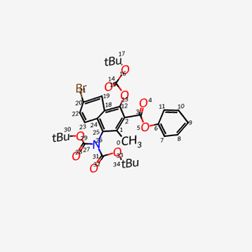 Cc1c(C(=O)Oc2ccccc2)c(OC(=O)OC(C)(C)C)c2cc(Br)ccc2c1N(C(=O)OC(C)(C)C)C(=O)OC(C)(C)C